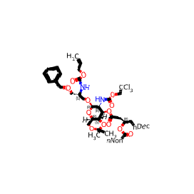 C=CCOC(=O)N[C@@H](COCc1ccccc1)CO[C@@H]1O[C@@H]2COC(C)(C)O[C@H]2[C@H](OC(=O)C[C@@H](CCCCCCCCCCC)OC(=O)CCCCCCCCC)[C@H]1NC(=O)OCC(Cl)(Cl)Cl